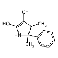 CN1C(O)=C(O)NC1(C)c1ccccc1